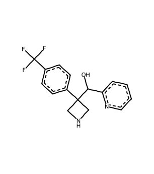 OC(c1ccccn1)C1(c2ccc(C(F)(F)F)cc2)CNC1